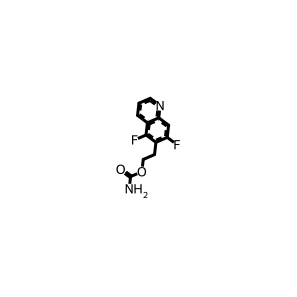 NC(=O)OCCc1c(F)cc2ncccc2c1F